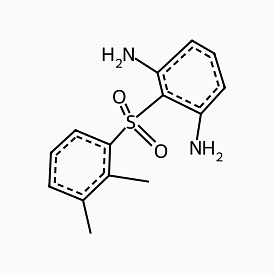 Cc1cccc(S(=O)(=O)c2c(N)cccc2N)c1C